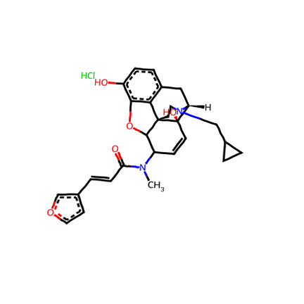 CN(C(=O)/C=C/c1ccoc1)C1C=C[C@@]2(O)[C@H]3Cc4ccc(O)c5c4[C@@]2(CCN3CC2CC2)C1O5.Cl